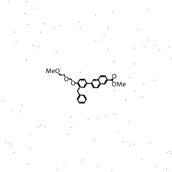 COCCOCOc1ccc(-c2ccc3cc(C(=O)OC)ccc3c2)cc1Cc1ccccc1